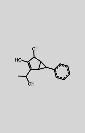 CC(O)C1=C(O)C(O)C2C1C2c1ccccc1